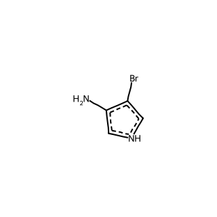 Nc1c[nH]cc1Br